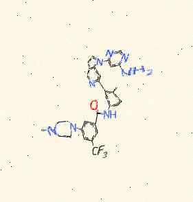 Cc1ccc(NC(=O)c2cc(N3CCN(C)CC3)cc(C(F)(F)F)c2)cc1-c1cc2c(ccn2-c2cc(N)ncn2)cn1